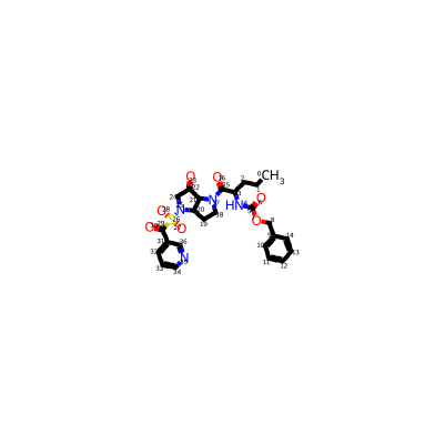 CCCC(NC(=O)OCc1ccccc1)C(=O)N1CCC2C1C(=O)CN2S(=O)(=O)C(=O)c1cccnc1